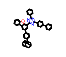 c1ccc(-c2ccc(-c3nc(-c4ccccc4)nc(-c4cc(-c5ccc(C67CC8CC(CC(C8)C6)C7)cc5)cc5c4oc4ccccc45)n3)cc2)cc1